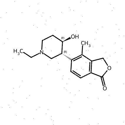 CCN1CC[C@@H](O)[C@H](c2ccc3c(c2C)COC3=O)C1